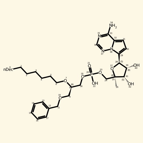 CCCCCCCCCCCCCCCCO[C@H](COCc1ccccc1)COP(=O)(O)OC[C@@]1(C)O[C@@H](c2ccc3c(N)ncnn23)[C@H](O)[C@@H]1O